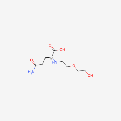 NC(=O)CC[C@H](NCCOCCO)C(=O)O